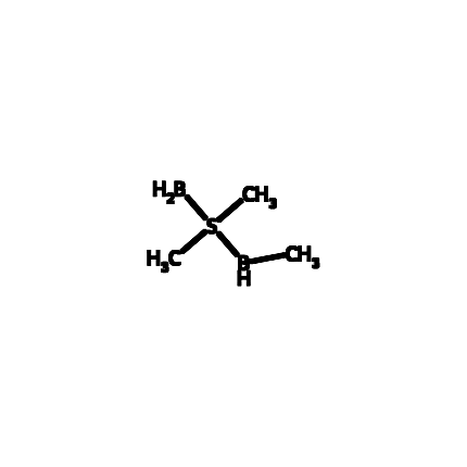 BS(C)(C)BC